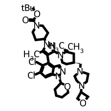 Cc1c(-c2c(Cl)c(Cl)cc3c2cnn3C2CCCCO2)c(N2CC[C@@H](CN3CCN(C4COC4)CC3)CC2(C)C)nn1C1CCN(C(=O)OC(C)(C)C)CC1